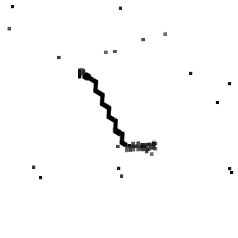 CCCCCCCCC=CCCCCCCCC#P